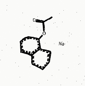 CC(=O)Oc1cccc2ccccc12.[Na]